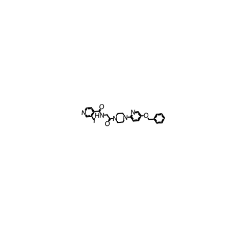 O=C(NCC(=O)N1CCN(c2ccc(OCc3ccccc3)cn2)CC1)c1ccncc1I